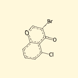 O=c1c(Br)coc2cccc(Cl)c12